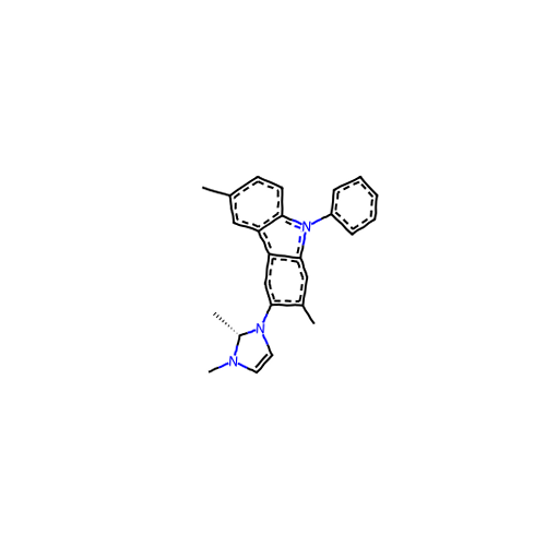 Cc1ccc2c(c1)c1cc(N3C=CN(C)[C@@H]3C)c(C)cc1n2-c1ccccc1